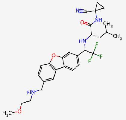 COCCNCc1ccc2oc3cc([C@H](N[C@@H](CC(C)C)C(=O)NC4(C#N)CC4)C(F)(F)F)ccc3c2c1